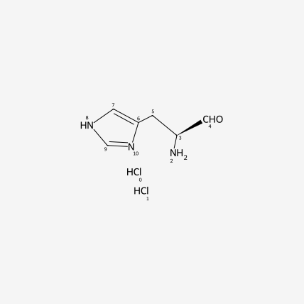 Cl.Cl.N[C@H](C=O)Cc1c[nH]cn1